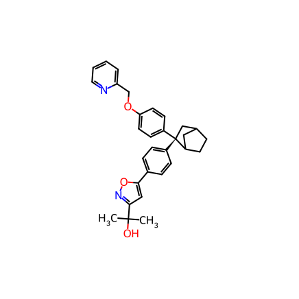 CC(C)(O)c1cc(-c2ccc([C@@]3(c4ccc(OCc5ccccn5)cc4)CC4CCC3C4)cc2)on1